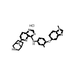 Cc1cc(Nc2ncnc3ccc(N4C5CCC4CNC5)nc23)ccc1Oc1ccc2c(c1)ncn2C.Cl